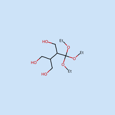 CCOC(OCC)(OCC)C(CO)C(CO)CO